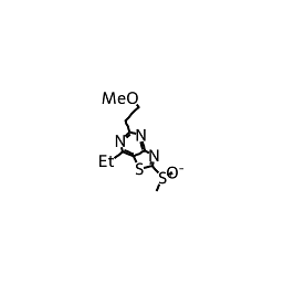 CCc1nc(CCOC)nc2nc([S+](C)[O-])sc12